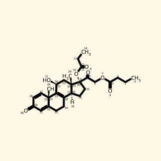 CCCC(=O)OCC(=O)[C@@]1(OC(=O)CC)CC[C@H]2C3=C([C@@H](O)C[C@@]21C)[C@@]1(C)C=CC(=O)C=C1CC3